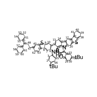 CC(C)(C)c1ccc(Nc2cc3c(cc2-c2ccc4c5cc6c(cc5n5c4c2Bc2oc4ccc(C(C)(C)C)cc4c2-5)sc2ccccc26)sc2cc(CCC(c4ccccc4)c4ccccc4)ccc23)cc1